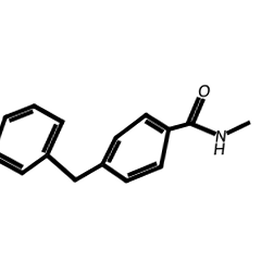 CNC(=O)c1ccc(Cc2ccccc2)cc1